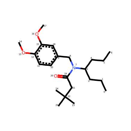 CCCC(CCC)N(Cc1ccc(OC)c(OC)c1)C(=O)CC(C)(C)C